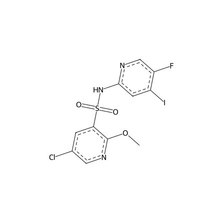 COc1ncc(Cl)cc1S(=O)(=O)Nc1cc(I)c(F)cn1